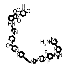 Cc1nc2ccc(-c3ccnc(N)c3)nc2n1-c1cc(F)c(N2CCN(C3CN(CC#Cc4ccc(N5CCC(C(=O)N6CCC(n7cc(CNc8cccc9c8C(=O)N(C8CCC(=O)NC8=O)C9=O)cn7)CC6)CC5)nc4)C3)CC2)c(F)c1